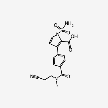 CN(CCC#N)C(=O)c1ccc(-c2ccn(S(N)(=O)=O)c2C(=O)O)cc1